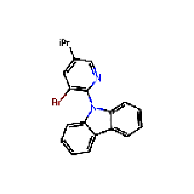 CC(C)c1cnc(-n2c3ccccc3c3ccccc32)c(Br)c1